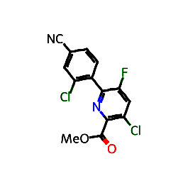 COC(=O)c1nc(-c2ccc(C#N)cc2Cl)c(F)cc1Cl